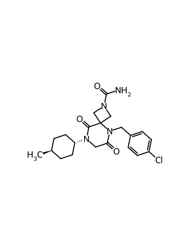 C[C@H]1CC[C@H](N2CC(=O)N(Cc3ccc(Cl)cc3)C3(CN(C(N)=O)C3)C2=O)CC1